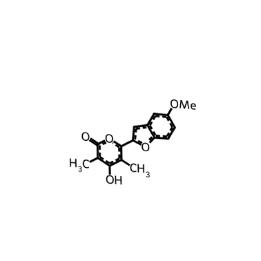 COc1ccc2oc(-c3oc(=O)c(C)c(O)c3C)cc2c1